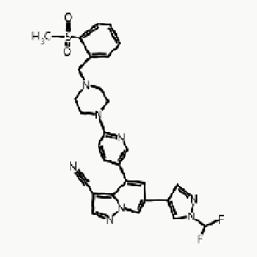 CS(=O)(=O)c1ccccc1CN1CCN(c2ccc(-c3cc(-c4cnn(C(F)F)c4)cn4ncc(C#N)c34)cn2)CC1